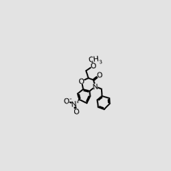 COCC1Oc2cc([N+](=O)[O-])ccc2N(Cc2ccccc2)C1=O